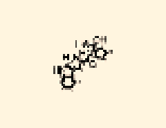 N[C@H](Cc1c[nH]c2ccccc12)C(=O)NC1(C(O)O)CCCC1